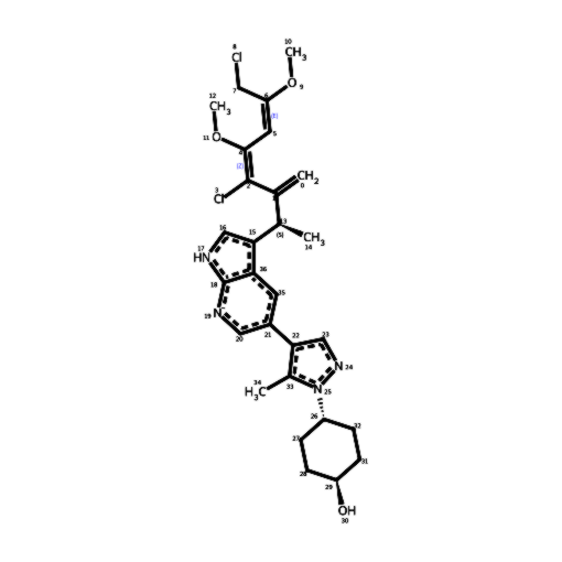 C=C(/C(Cl)=C(\C=C(/CCl)OC)OC)[C@@H](C)c1c[nH]c2ncc(-c3cnn([C@H]4CC[C@H](O)CC4)c3C)cc12